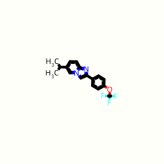 CC(C)c1ccc2nc(-c3ccc(OC(F)(F)F)cc3)cn2c1